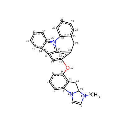 CN1C=CN2c3cccc(Oc4cc5c6ccccc6n6c5cc4Cc4ccccc4-6)c3CC12